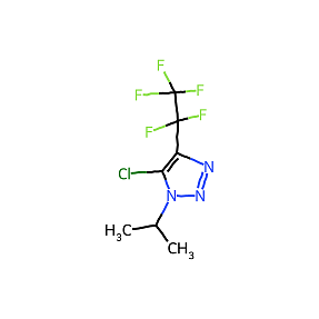 CC(C)n1nnc(C(F)(F)C(F)(F)F)c1Cl